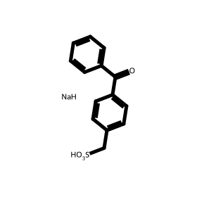 O=C(c1ccccc1)c1ccc(CS(=O)(=O)O)cc1.[NaH]